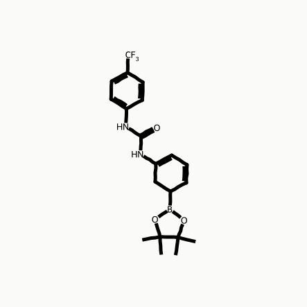 CC1(C)OB(C2C=CC=C(NC(=O)Nc3ccc(C(F)(F)F)cc3)C2)OC1(C)C